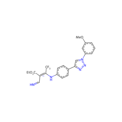 CCOC(=O)/C(C=N)=C(/Nc1ccc(-c2cn(-c3cccc(OC)c3)nn2)cc1)C(F)(F)F